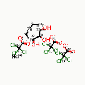 CC(C)[CH2][Zn][CH2]C(C)C.O=C([O-])C(Cl)(Cl)Cl.O=C([O-])C(Cl)(Cl)Cl.O=C([O-])C(Cl)(Cl)Cl.OCC(O)CO.[Nd+3]